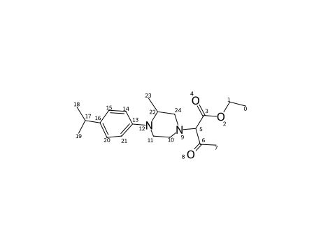 CCOC(=O)C(C(C)=O)N1CCN(c2ccc(C(C)C)cc2)C(C)C1